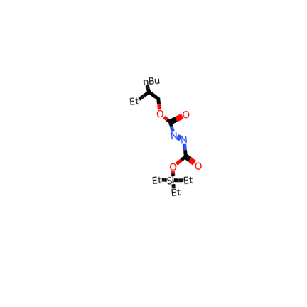 CCCCC(CC)COC(=O)N=NC(=O)O[Si](CC)(CC)CC